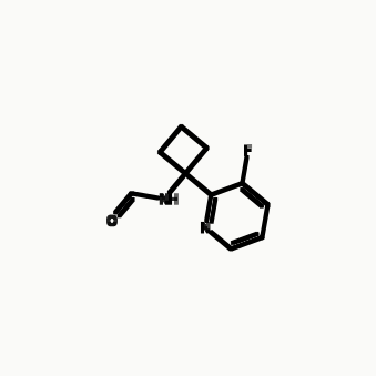 O=CNC1(c2ncccc2F)CCC1